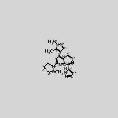 Cc1c(-c2cc(N3CCOCC3C)nc3c(-c4ccn[nH]4)nccc23)cnn1C